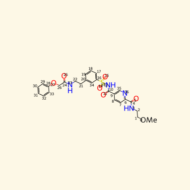 COCCNC(=O)c1ccc(C(=O)NS(=O)(=O)c2cccc(CCNC(=O)COc3ccccc3)c2)cn1